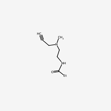 C#CCN(C)CCNC(=O)CC